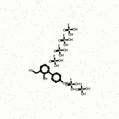 CCCc1c(CS)cccc1-c1ccc(OC)cc1.O=P(O)(O)F.O=P(O)(O)F.O=P(O)(O)F.O=P(O)(O)F.O=P(O)(O)F.O=P(O)(O)F